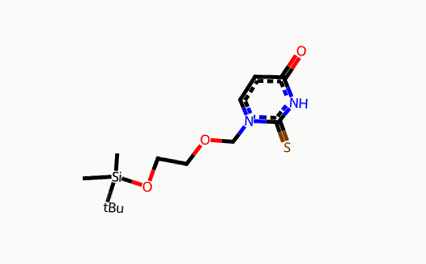 CC(C)(C)[Si](C)(C)OCCOCn1ccc(=O)[nH]c1=S